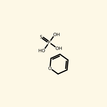 C1=CCOC=C1.OP(O)(O)=S